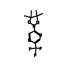 CC1(C)OB(c2cnc(C(F)(F)F)cn2)OC1(C)C